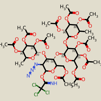 CC(=O)OCC1OC(OC(=N)C(Cl)(Cl)Cl)C(N=[N+]=[N-])[C@@H](O[C@@H]2OC(C)[C@@H](OC(C)=O)C(OC(C)=O)[C@H]2OC(C)=O)[C@@H]1O[C@@H]1OC(COC(C)=O)[C@H](OC(C)=O)[C@H](OC(C)=O)C1OC1OC(C)[C@@H](OC(C)=O)C(OC(C)=O)[C@H]1OC(C)=O